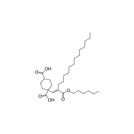 CCCCCCCCCCCCCC(=CC1(C(=O)O)CCC(C(=O)O)CC1)C(=O)OCCCCCC